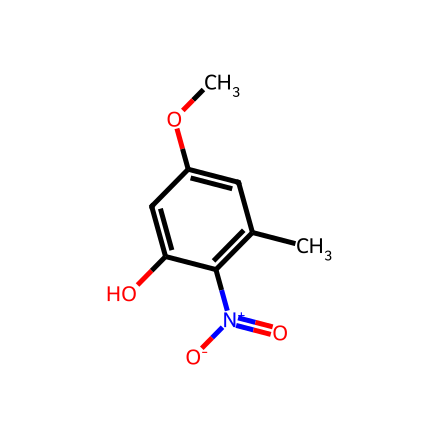 COc1cc(C)c([N+](=O)[O-])c(O)c1